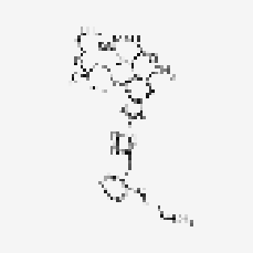 C=CCCOc1ccccc1Cc1nnc(-c2cn3c(N4CCC(C)(OCC=C)CC4)c([C@H](OC(C)(C)C)C(=O)OC)c(C)cc3n2)o1